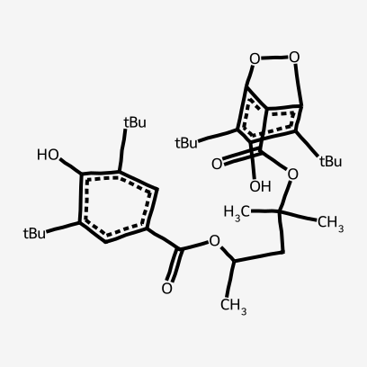 CC(CC(C)(C)OC(=O)c1c2c(C(C)(C)C)c(O)c(C(C)(C)C)c1OO2)OC(=O)c1cc(C(C)(C)C)c(O)c(C(C)(C)C)c1